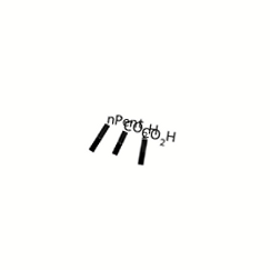 CC(=O)O.CC(=O)O.CCCCCC